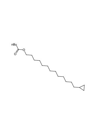 CCCCC(=O)OCCCCCCCCCCCCCC1CC1